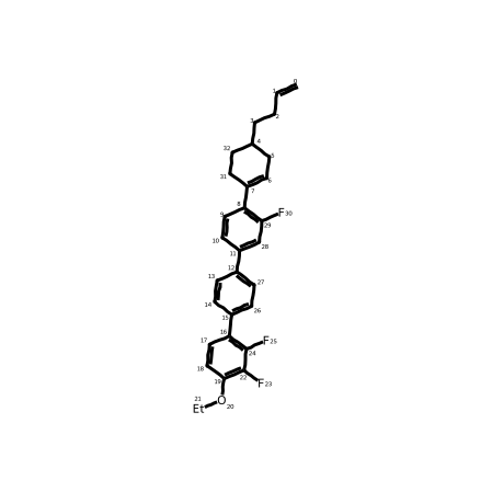 C=CCCC1CC=C(c2ccc(-c3ccc(-c4ccc(OCC)c(F)c4F)cc3)cc2F)CC1